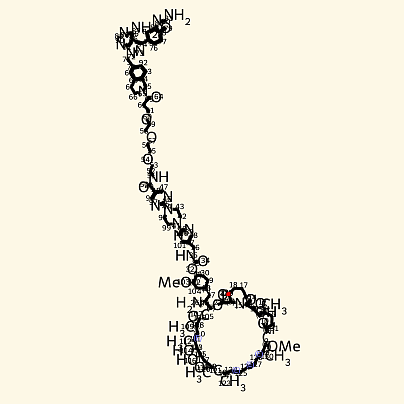 CO[C@H]1C[C@@H]2CC[C@@H](C)[C@@](O)(O2)C(=O)C(=O)N2CCCC[C@H]2C(=O)O[C@H]([C@H](N)C[C@@H]2CC[C@@H](OC(=O)NCc3cnc(N4CCN(c5ncc(C(=O)NCCOCCOCCOCCC(=O)N6CCc7cc(Cn8nc(-c9ccc%10oc(N)nc%10c9)c9c(N)ncnc98)ccc7C6)cn5)CC4)nc3)[C@H](OC)C2)CC(=O)[C@H](C)/C=C(\C)[C@@H](O)[C@@H](O)C(=O)[C@H](C)C[C@H](C)/C=C/C=C/C=C/1C